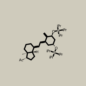 C=C1/C(=C/C=C2CCC[C@]3(C)[C@@H](C(C)=O)CC[C@@H]23)C[C@@H](O[Si](C(C)C)(C(C)C)C(C)C)C[C@@H]1O[Si](C(C)C)(C(C)C)C(C)C